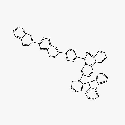 c1ccc2c(c1)-c1ccccc1C21c2ccccc2-c2cc3c(-c4ccc(-c5ccc6cc(-c7ccc8ccccc8c7)ccc6c5)cc4)nc4ccccc4c3cc21